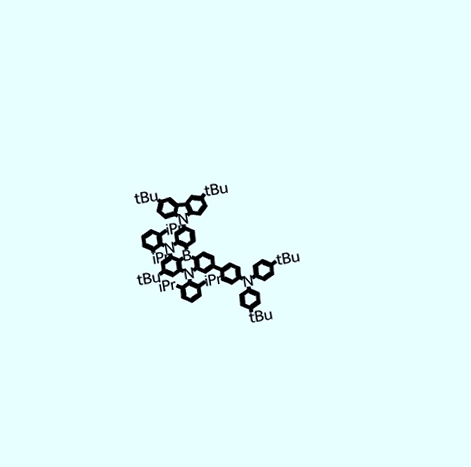 CC(C)c1cccc(C(C)C)c1N1c2cc(-c3ccc(N(c4ccc(C(C)(C)C)cc4)c4ccc(C(C)(C)C)cc4)cc3)ccc2B2c3ccc(-n4c5ccc(C(C)(C)C)cc5c5cc(C(C)(C)C)ccc54)cc3N(c3c(C(C)C)cccc3C(C)C)c3cc(C(C)(C)C)cc1c32